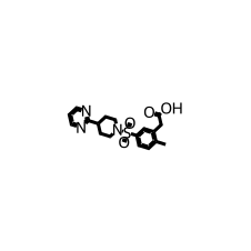 Cc1ccc(S(=O)(=O)N2CCC(c3ncccn3)CC2)cc1CC(=O)O